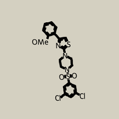 COc1ccccc1-c1csc(N2CCN(S(=O)(=O)c3cc(Cl)cc(Cl)c3)CC2)n1